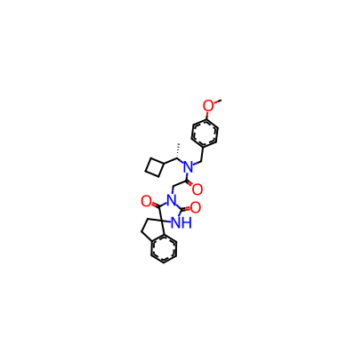 COc1ccc(CN(C(=O)CN2C(=O)NC3(CCc4ccccc43)C2=O)[C@@H](C)C2CCC2)cc1